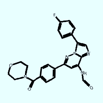 O=CNc1cc(-c2ccc(C(=O)N3CCOCC3)cc2)nn2c(-c3ccc(F)cc3)cnc12